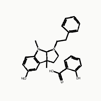 CN1c2ccc(O)cc2C2(C)CCN(CCc3ccccc3)C12.O=C(O)c1ccccc1O